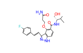 CC(C)[C@@H](CO)NC(=O)c1ccc2[nH]nc(/C=C/c3ccc(F)cc3)c2c1OCCC(N)=O